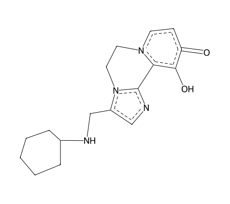 O=c1ccn2c(c1O)-c1ncc(CNC3CCCCC3)n1CC2